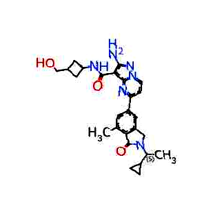 Cc1cc(-c2ccn3nc(N)c(C(=O)NC4CC(CO)C4)c3n2)cc2c1C(=O)N([C@@H](C)C1CC1)C2